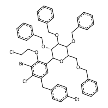 CCc1ccc(Cc2cc(C3OC(COCc4ccccc4)C(OCc4ccccc4)C(OCc4ccccc4)[C@H]3OCc3ccccc3)c(OCCCl)c(Br)c2Cl)cc1